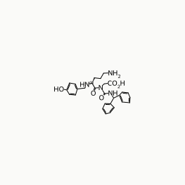 NCCC[C@H](NCc1ccc(O)cc1)C(=O)N(CC(=O)O)C(=O)NC(c1ccccc1)c1ccccc1